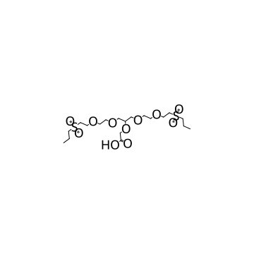 CCCS(=O)(=O)CCOCCOCC(COCCOCCS(=O)(=O)CCC)OCC(=O)O